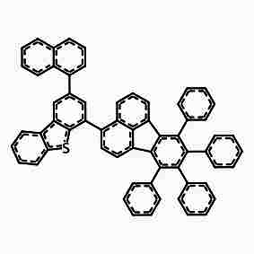 c1ccc(-c2c(-c3ccccc3)c(-c3ccccc3)c3c(c2-c2ccccc2)-c2cccc4c(-c5cc(-c6cccc7ccccc67)cc6c5sc5ccccc56)ccc-3c24)cc1